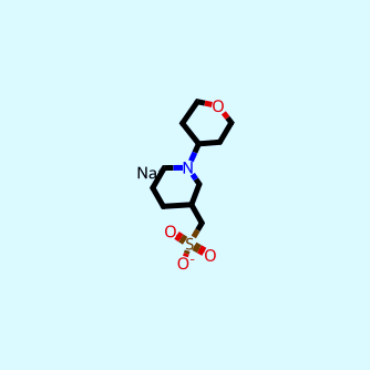 O=S(=O)([O-])CC1CCCN(C2CCOCC2)C1.[Na+]